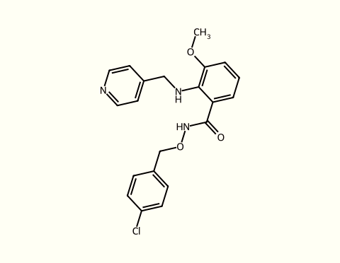 COc1cccc(C(=O)NOCc2ccc(Cl)cc2)c1NCc1ccncc1